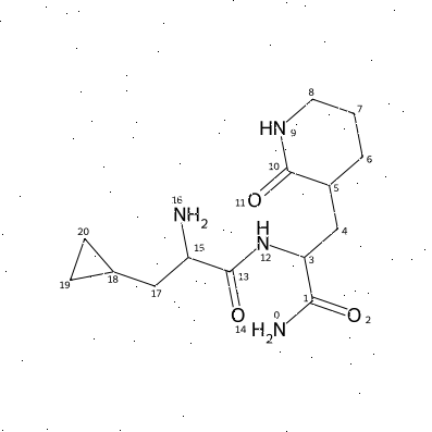 NC(=O)C(CC1CCCNC1=O)NC(=O)C(N)CC1CC1